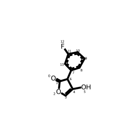 O=C1OC=C(O)C1c1cccc(F)c1